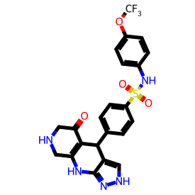 O=C1CNCC2=C1C(c1ccc(S(=O)(=O)Nc3ccc(OC(F)(F)F)cc3)cc1)c1c[nH]nc1N2